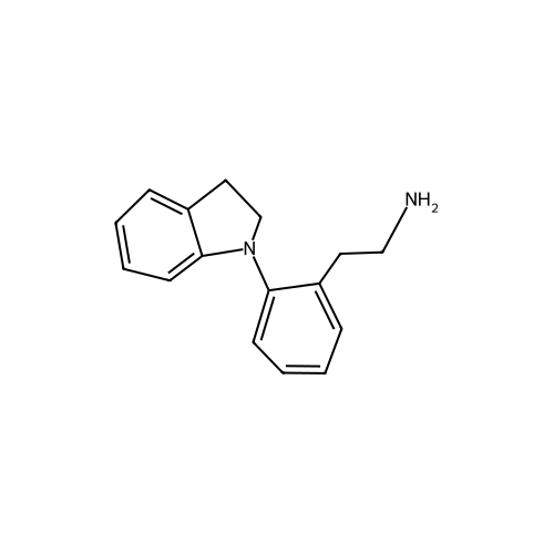 NCCc1ccccc1N1CCc2ccccc21